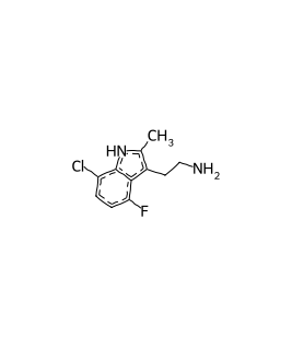 Cc1[nH]c2c(Cl)ccc(F)c2c1CCN